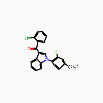 O=C(O)c1ccc(-n2cc(C(=O)c3ccccc3Cl)c3ccccc32)c(F)c1